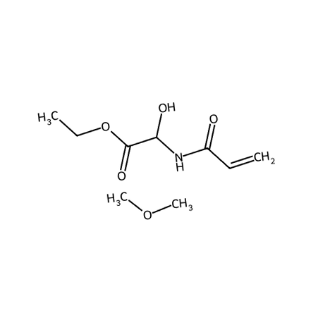 C=CC(=O)NC(O)C(=O)OCC.COC